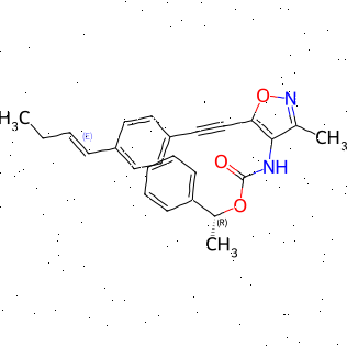 CC/C=C/c1ccc(C#Cc2onc(C)c2NC(=O)O[C@H](C)c2ccccc2)cc1